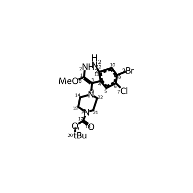 CO/C(N)=C(/c1cc(Cl)c(Br)cc1N)N1CCN(C(=O)OC(C)(C)C)CC1